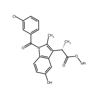 CCCOC(=O)[C@@H](C)c1c(C)n(C(=O)c2cccc(Cl)c2)c2ccc(O)cc12